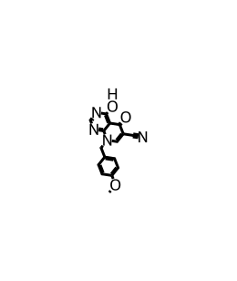 COc1ccc(Cn2cc(C#N)c(=O)c3c(O)ncnc32)cc1